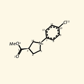 COC(=O)[C@@H]1CCN(c2ccc(Cl)cc2)C1